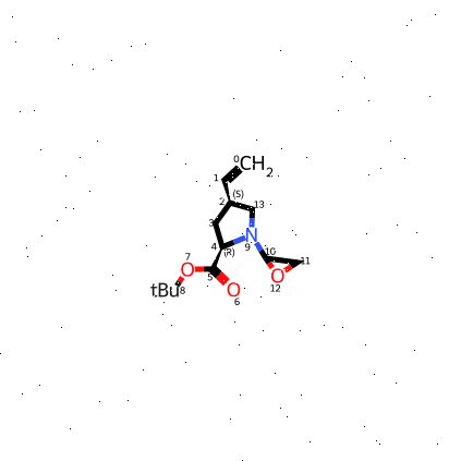 C=C[C@@H]1C[C@H](C(=O)OC(C)(C)C)N(C2CO2)C1